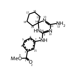 COC(=O)c1cccc(NC2=NC(N)=NC3(CCCCC3)N2)c1